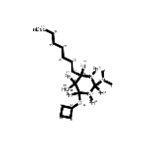 [2H]N1C([2H])(N(C)C)N([2H])C([2H])(OC2CCC2)C([2H])(O)C1([2H])CCCCCCCCCCCCCCCC